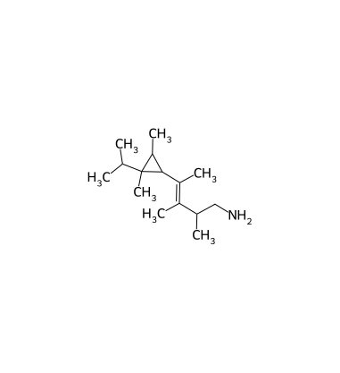 C/C(=C(/C)C1C(C)C1(C)C(C)C)C(C)CN